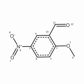 COc1c[c]c([N+](=O)[O-])cc1[C]=O